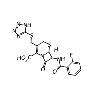 O=C(O)C1=C(CSc2nnn[nH]2)CS[C@H]2C(NC(=O)c3ccccc3F)C(=O)N12